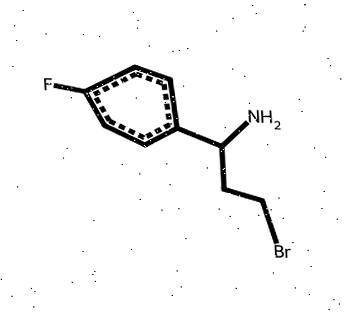 NC(CCBr)c1ccc(F)cc1